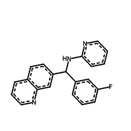 Fc1cccc(C(Nc2ccccn2)c2ccc3cccnc3c2)c1